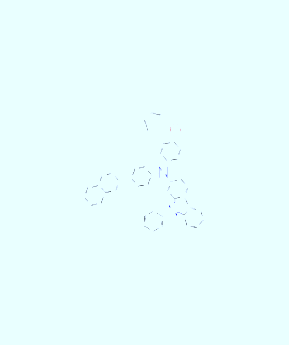 C1=CC2Oc3ccc(N(c4ccc(-c5ccc6ccccc6c5)cc4)c4ccc5c6ccccc6n(-c6ccccc6)c5c4)cc3C2C=C1